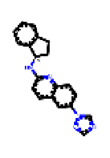 c1ccc2c(c1)CC[C@H]2Nc1ccc2cc(-n3cncn3)ccc2n1